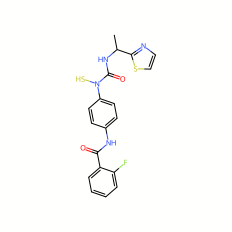 CC(NC(=O)N(S)c1ccc(NC(=O)c2ccccc2F)cc1)c1nccs1